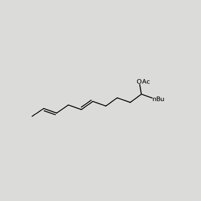 CC=CCC=CCCCC(CCCC)OC(C)=O